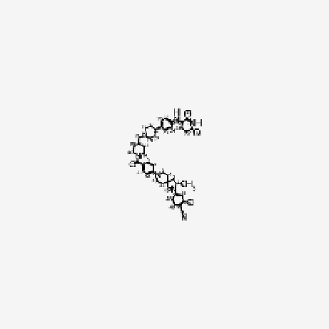 CC1CC2(CCN(c3ccc(C(=O)N4CCC(CN5CCC(c6ccc(NC7CCC(=O)NC7=O)cc6)CC5)CC4)cc3)CC2)CN1c1ccc(C#N)c(Cl)c1